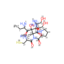 CC(C)CC(N)C(=O)C(O)(C(=O)C(N)CO)C(C(=O)O)(C(=O)C(N)CO)N(C(=O)C(N)CS)C(=O)C1CCCN1